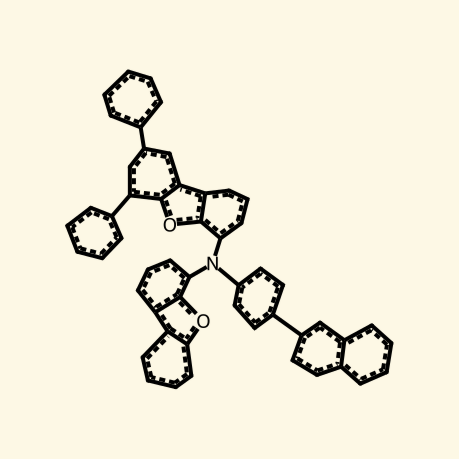 c1ccc(-c2cc(-c3ccccc3)c3oc4c(N(c5ccc(-c6ccc7ccccc7c6)cc5)c5cccc6c5oc5ccccc56)cccc4c3c2)cc1